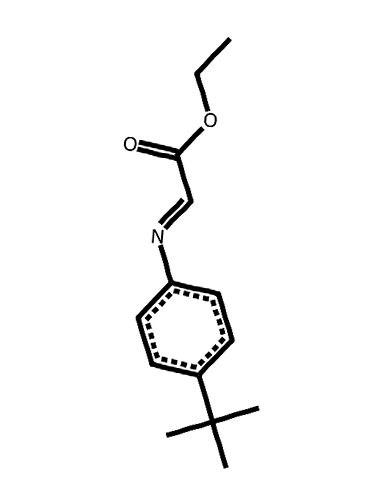 CCOC(=O)C=Nc1ccc(C(C)(C)C)cc1